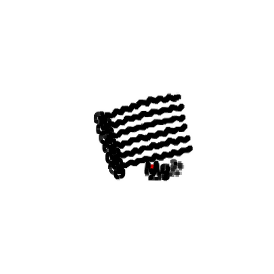 CCCCCCCCCCCCCCCCCC(=O)[O-].CCCCCCCCCCCCCCCCCC(=O)[O-].CCCCCCCCCCCCCCCCCC(=O)[O-].CCCCCCCCCCCCCCCCCC(=O)[O-].CCCCCCCCCCCCCCCCCC(=O)[O-].CCCCCCCCCCCCCCCCCC(=O)[O-].[Mg+2].[Mg+2].[Zn+2]